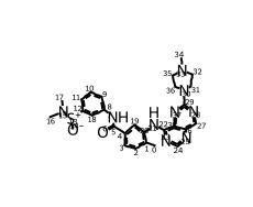 Cc1ccc(C(=O)Nc2cccc([S+]([O-])N(C)C)c2)cc1Nc1ncnc2cnc(N3CCN(C)CC3)nc12